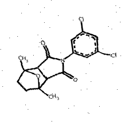 CC12CCC(C)(O1)C1C(=O)N(c3cc(Cl)cc(Cl)c3)C(=O)C12